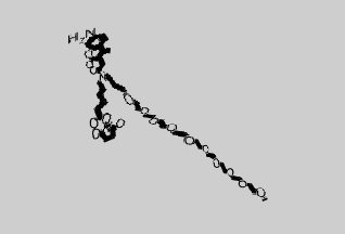 COCCOCCOCCOCCOCCOCCOCCOCCOCCOCCCN(CCCCCC(=O)ON1C(=O)CCC1=O)C(=O)Cc1c(C)c2ccc(N)cc2oc1=O